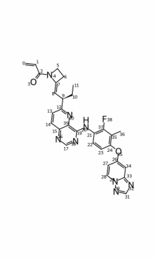 C=CC(=O)N1CC/C1=C\[C@@H](CC)c1ccc2ncnc(Nc3ccc(Oc4ccn5ncnc5c4)c(C)c3F)c2n1